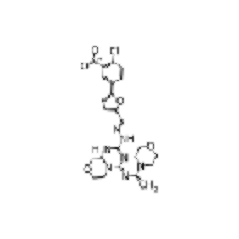 C=C(/N=C(\N=C(/N)N/N=C/c1ccc(-c2ccc(Cl)c([N+](=O)[O-])c2)o1)N1CCOCC1)N1CCOCC1